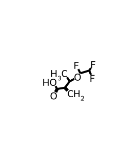 C=C(C(=O)O)C(C)OC(F)C(F)F